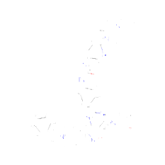 CN1CCN(c2ccc(NC(=O)Nc3ccc(-c4nc(N5CCOCC5)c5onc(C6CCN(Cc7ccccc7)CC6)c5n4)cc3)cn2)CC1